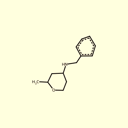 CC1CC(NCc2ccccc2)CCO1